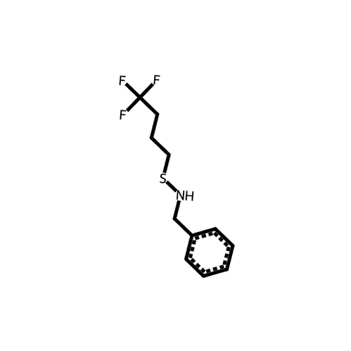 FC(F)(F)CCCSNCc1ccccc1